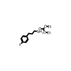 CCOC(OCC)O[SiH2]CCCc1ccc(F)cc1